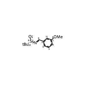 COc1cc[c]c(/C=N/[S@@+]([O-])C(C)(C)C)c1